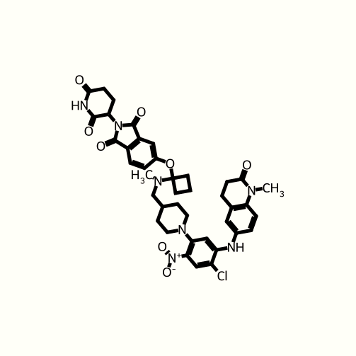 CN1C(=O)CCc2cc(Nc3cc(N4CCC(CN(C)C5(Oc6ccc7c(c6)C(=O)N(C6CCC(=O)NC6=O)C7=O)CCC5)CC4)c([N+](=O)[O-])cc3Cl)ccc21